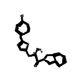 N[C@H](Cc1ccc(-c2ccc(Cl)cc2)s1)C(=O)N1Cc2ccccc2C1